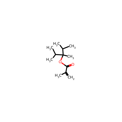 C=C(C)C(=O)OC(C)(C(C)C)C(C)C